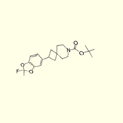 CC(C)(C)OC(=O)N1CCC2(CC1)CC(c1ccc3c(c1)OC(C)(F)O3)C2